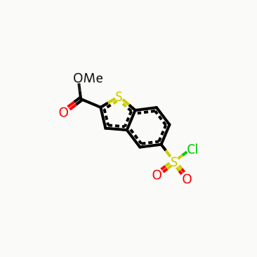 COC(=O)c1cc2cc(S(=O)(=O)Cl)ccc2s1